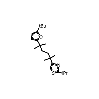 CC(C)c1nc(C(C)(C)CCC(C)(C)c2ccc(C(C)(C)C)o2)cs1